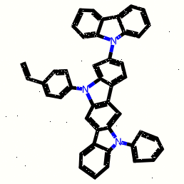 C=Cc1ccc(-n2c3cc(-n4c5ccccc5c5ccccc54)ccc3c3cc4c(cc32)c2ccccc2n4-c2ccccc2)cc1